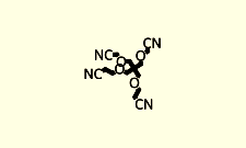 N#CCCOCC(COCC#N)(COCC#N)COCCC#N